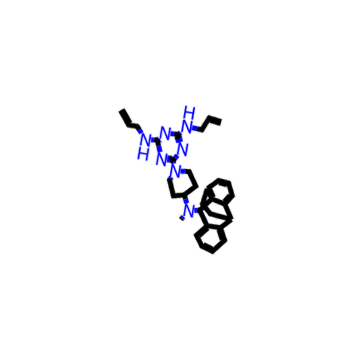 C=CCNc1nc(NCC=C)nc(N2CCC(N(C)C3c4ccccc4C4CCc5cccc4c53)CC2)n1